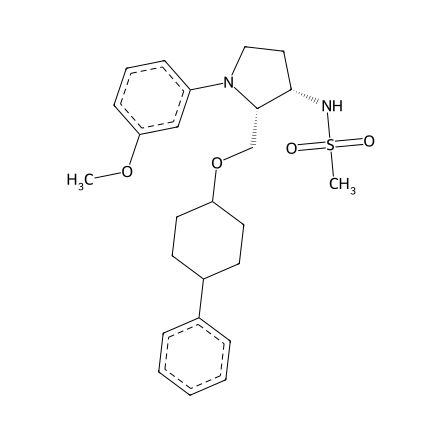 COc1cccc(N2CC[C@H](NS(C)(=O)=O)[C@@H]2COC2CCC(c3ccccc3)CC2)c1